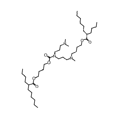 CCCCCCC(CCCC)C(=O)OCCCCOC(=O)N(CCCN(C)C)CCCN(C)CCCCOC(=O)C(CCCC)CCCCCC